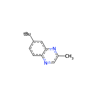 Cc1cnc2ccc(C(C)(C)C)cc2n1